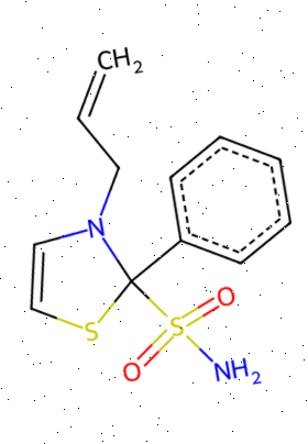 C=CCN1C=CSC1(c1ccccc1)S(N)(=O)=O